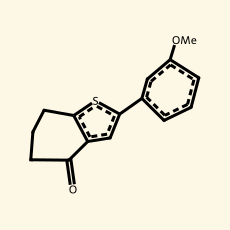 COc1cccc(-c2cc3c(s2)CCCC3=O)c1